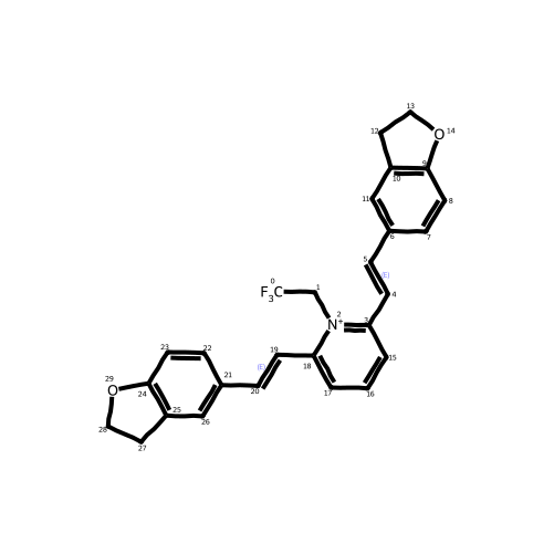 FC(F)(F)C[n+]1c(/C=C/c2ccc3c(c2)CCO3)cccc1/C=C/c1ccc2c(c1)CCO2